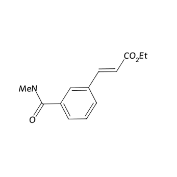 CCOC(=O)/C=C/c1cccc(C(=O)NC)c1